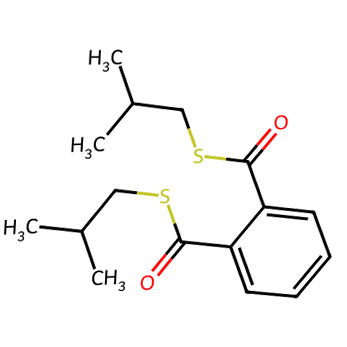 CC(C)CSC(=O)c1ccccc1C(=O)SCC(C)C